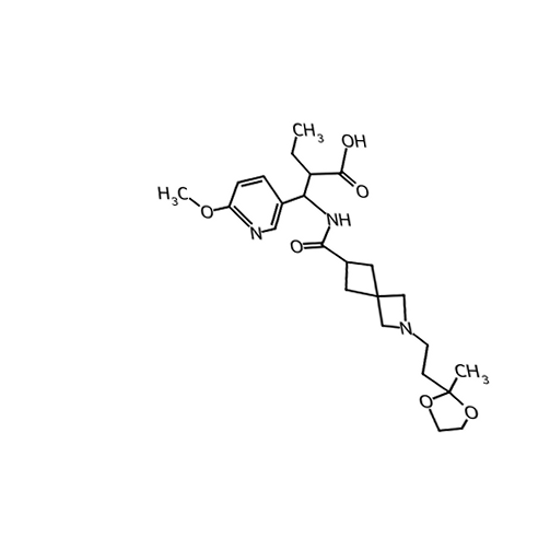 CCC(C(=O)O)C(NC(=O)C1CC2(C1)CN(CCC1(C)OCCO1)C2)c1ccc(OC)nc1